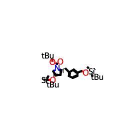 CC(C)(C)OC(=O)N1C[C@H](O[Si](C)(C)C(C)(C)C)C[C@H]1Cc1cccc(CO[Si](C)(C)C(C)(C)C)c1